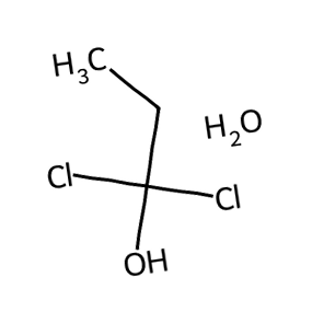 CCC(O)(Cl)Cl.O